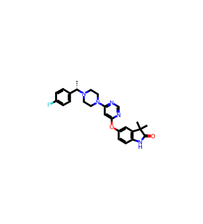 C[C@@H](c1ccc(F)cc1)N1CCN(c2cc(Oc3ccc4c(c3)C(C)(C)C(=O)N4)ncn2)CC1